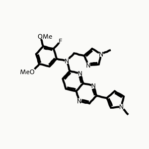 COc1cc(OC)c(F)c(N(Cc2cn(C)cn2)c2ccc3ncc(-c4ccn(C)c4)nc3n2)c1